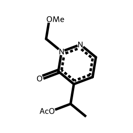 COCn1nccc(C(C)OC(C)=O)c1=O